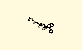 CC(=O)OCOC(=O)CCNC(=O)c1ncc(C(=O)NC(c2ccccc2)c2ccccc2)c(O)n1